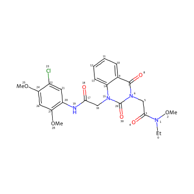 CCN(OC)C(=O)Cn1c(=O)c2ccccc2n(CC(=O)Nc2cc(Cl)c(OC)cc2OC)c1=O